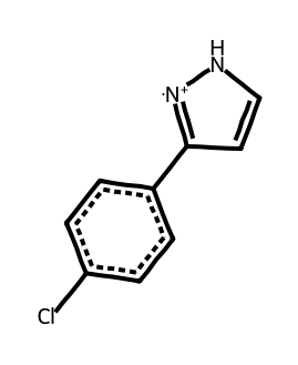 Clc1ccc(C2=[N+]NC=C2)cc1